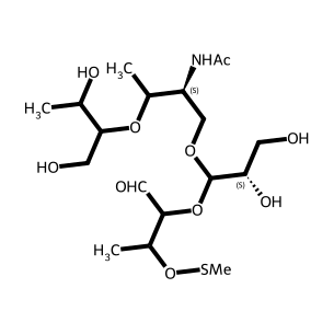 CSOC(C)C(C=O)OC(OC[C@H](NC(C)=O)C(C)OC(CO)C(C)O)[C@@H](O)CO